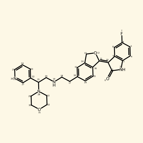 O=C1Nc2ccc(F)cc2/C1=C1\OCc2cc(CCNCC(c3cccnc3)N3CCOCC3)ccc21